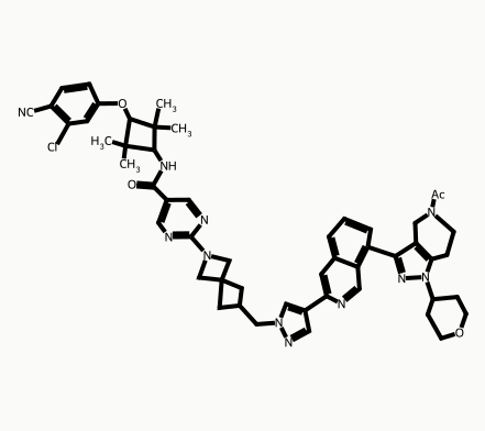 CC(=O)N1CCc2c(c(-c3cccc4cc(-c5cnn(CC6CC7(C6)CN(c6ncc(C(=O)NC8C(C)(C)C(Oc9ccc(C#N)c(Cl)c9)C8(C)C)cn6)C7)c5)ncc34)nn2C2CCOCC2)C1